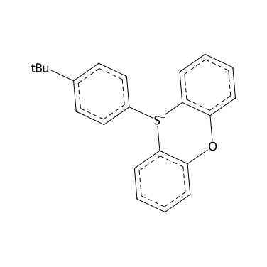 CC(C)(C)c1ccc([S+]2c3ccccc3Oc3ccccc32)cc1